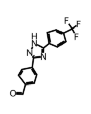 O=Cc1ccc(-c2n[nH]c(-c3ccc(C(F)(F)F)cc3)n2)cc1